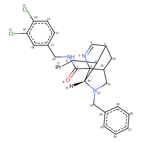 CC(C)CC1C2C=NC3(C(=O)NCc4ccc(Cl)c(Cl)c4)C(C2)CN(Cc2ccccc2)[C@@H]13